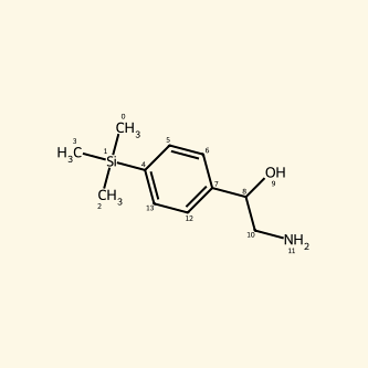 C[Si](C)(C)c1ccc(C(O)CN)cc1